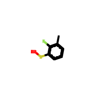 Cc1cccc(SO)c1F